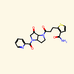 NC(=O)c1ccsc1C[CH]C(=O)N1CCC2C1C(=O)CN2C(=O)c1ccccn1